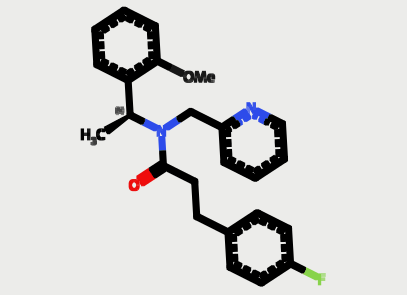 COc1ccccc1[C@H](C)N(Cc1ccccn1)C(=O)CCc1ccc(F)cc1